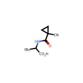 CC(C)(C)C(NC(=O)C1(C#N)CC1)C(=O)O